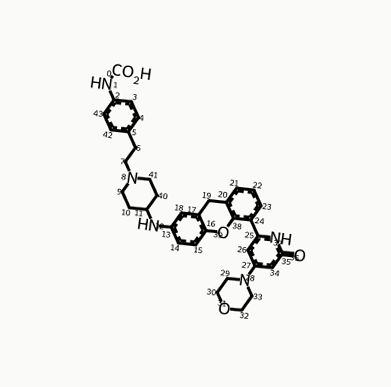 O=C(O)Nc1ccc(CCN2CCC(Nc3ccc4c(c3)Cc3cccc(-c5cc(N6CCOCC6)cc(=O)[nH]5)c3O4)CC2)cc1